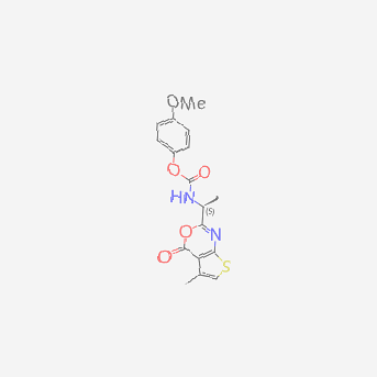 COc1ccc(OC(=O)N[C@@H](C)c2nc3scc(C)c3c(=O)o2)cc1